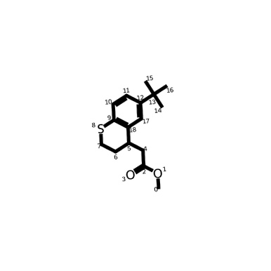 COC(=O)CC1CCSc2ccc(C(C)(C)C)cc21